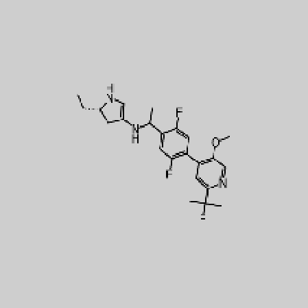 CC[C@H]1CC(NC(C)c2cc(F)c(-c3cc(C(C)(C)F)ncc3OC)cc2F)=CN1